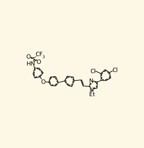 CCn1cc(-c2ccc(Cl)cc2Cl)nc1C=Cc1ccc(-c2ccc(Oc3ccc(NS(=O)(=O)C(F)(F)F)cc3)cc2)cc1